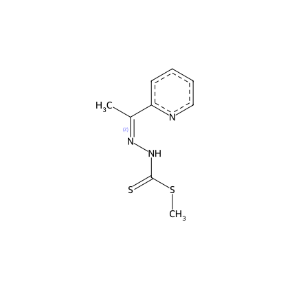 CSC(=S)N/N=C(/C)c1ccccn1